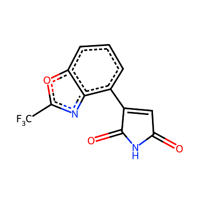 O=C1C=C(c2cccc3oc(C(F)(F)F)nc23)C(=O)N1